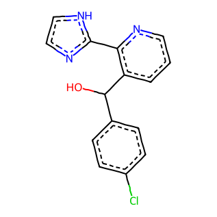 OC(c1ccc(Cl)cc1)c1cccnc1-c1ncc[nH]1